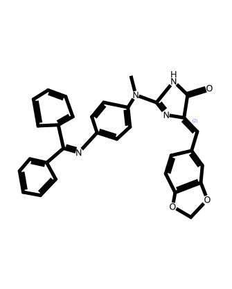 CN(C1=N/C(=C\c2ccc3c(c2)OCO3)C(=O)N1)c1ccc(N=C(c2ccccc2)c2ccccc2)cc1